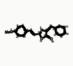 COc1ccc(C=CC2=NC(=Cc3cccnc3)C(=O)O2)cc1